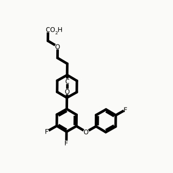 O=C(O)COCCC12CCC(c3cc(F)c(F)c(Oc4ccc(F)cc4)c3)(CC1)OC2